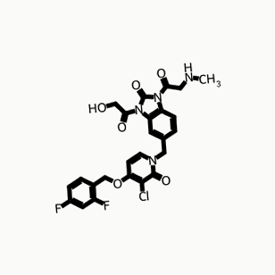 CNCC(=O)n1c(=O)n(C(=O)CO)c2cc(Cn3ccc(OCc4ccc(F)cc4F)c(Cl)c3=O)ccc21